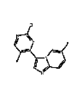 Fc1ccc2ncc(-c3nc(Cl)ncc3F)n2c1